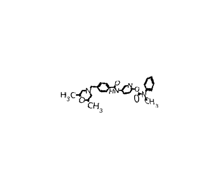 CC1CN(Cc2ccc(C(=O)Nc3ccc(OC(=O)N(C)c4ccccc4)nc3)cc2)CC(C)O1